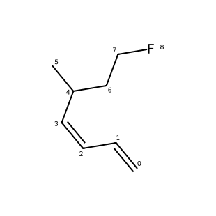 C=C/C=C\C(C)CCF